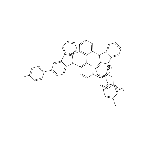 Cc1ccc(-c2ccc3c(c2)c2ccccc2n3-c2ccc(-c3ccc(C(F)(F)F)cc3C(F)(F)F)cc2-c2c(C#N)cccc2-n2c3ccccc3c3cc(-c4ccc(C)cc4)ccc32)cc1